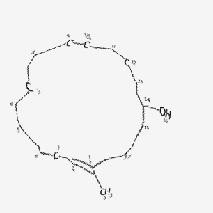 CC1=CCCCCCCCCCCCC(O)CC1